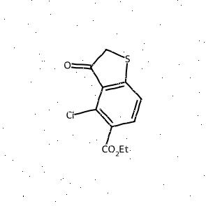 CCOC(=O)c1ccc2c(c1Cl)C(=O)CS2